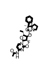 CC[C@H]1O[C@@H](n2ccc(NC(C)=O)nc2=O)[C@@H](F)C1O[P@]1O[C@@](C)(c2ccccc2)[C@H]2CCCN21